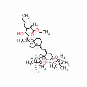 C=C(C(=O)OCC)C(CCCC)C(O)C[C@@H](C)[C@H]1CC[C@H]2/C(=C/C=C3/C[C@@H](O[Si](C)(C)C(C)(C)C)C[C@H](O[Si](C)(C)C(C)(C)C)C3=C)CCC[C@]12C